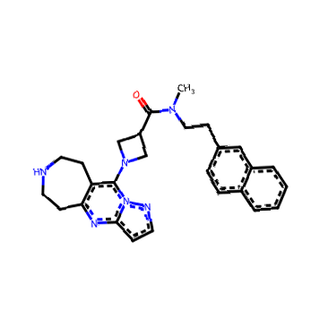 CN(CCc1ccc2ccccc2c1)C(=O)C1CN(c2c3c(nc4ccnn24)CCNCC3)C1